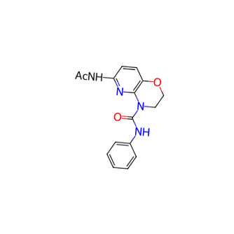 CC(=O)Nc1ccc2c(n1)N(C(=O)Nc1ccccc1)CCO2